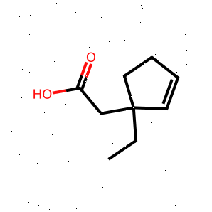 CCC1(CC(=O)O)C=CCC1